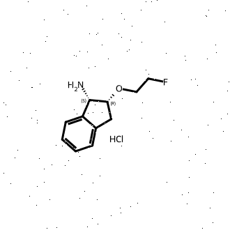 Cl.N[C@H]1c2ccccc2C[C@H]1OCCF